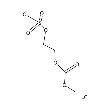 COC(=O)OCCOS(=O)(=O)[O-].[Li+]